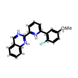 COc1ccc(F)c(-c2cccc(-c3ncc4ccccc4n3)n2)c1